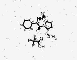 CC[C@H]1CC[C@@H](C#N)N1C(=O)[C@@H](N)C1CCCCC1.O=C(O)C(F)(F)F